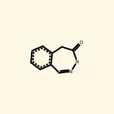 O=C1Cc2ccccc2C=N[N]1